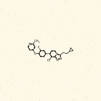 Cc1cc(Oc2ccc(-c3ccn4c(CCC5CC5)nnc4c3Cl)cc2F)ccn1